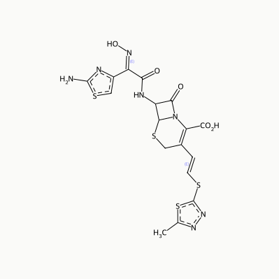 Cc1nnc(S/C=C/C2=C(C(=O)O)N3C(=O)C(NC(=O)/C(=N/O)c4csc(N)n4)C3SC2)s1